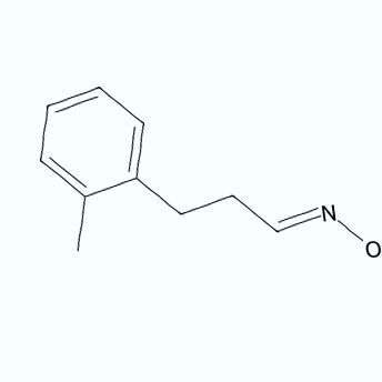 Cc1ccccc1CCC=NO